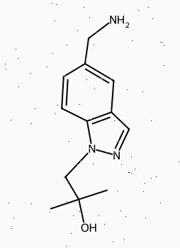 CC(C)(O)Cn1ncc2cc(CN)ccc21